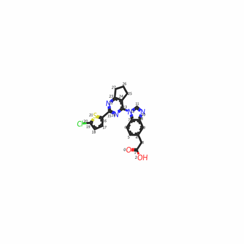 O=C(O)Cc1ccc2c(c1)ncn2-c1nc(-c2ccc(Cl)s2)nc2c1CCC2